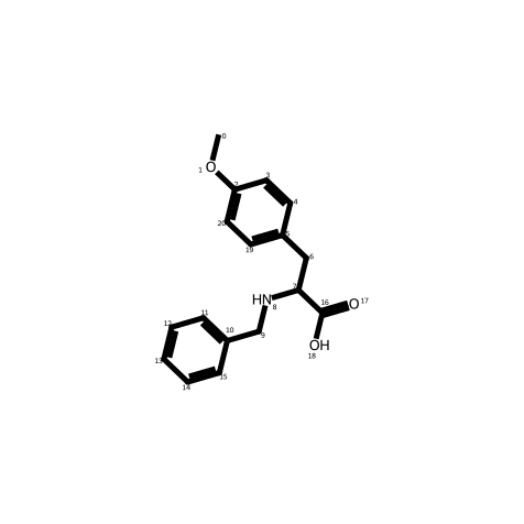 COc1ccc(CC(NCc2ccccc2)C(=O)O)cc1